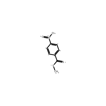 CSC(=S)c1ccc([N+](=O)[O-])cc1